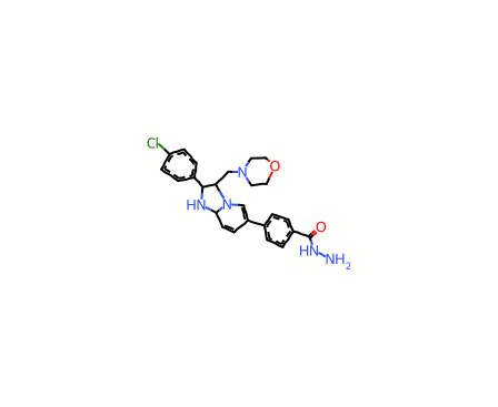 NNC(=O)c1ccc(C2=CN3C(C=C2)NC(c2ccc(Cl)cc2)C3CN2CCOCC2)cc1